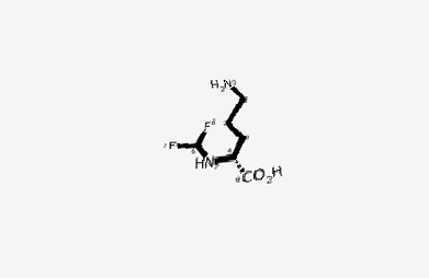 NCCC[C@@H](NC(F)F)C(=O)O